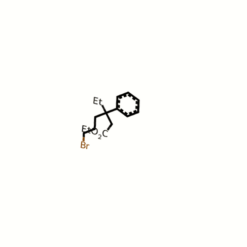 CCOC(=O)CC(CC)(CCCBr)c1ccccc1